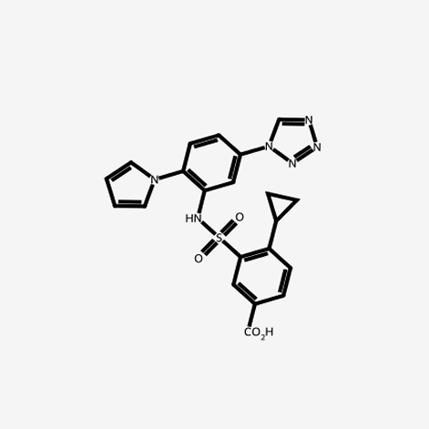 O=C(O)c1ccc(C2CC2)c(S(=O)(=O)Nc2cc(-n3cnnn3)ccc2-n2cccc2)c1